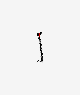 COCCOCCOCCOCCOCCOCCOCCOCCOCCOCCOCCOS(=O)(=O)c1ccc(C)cc1